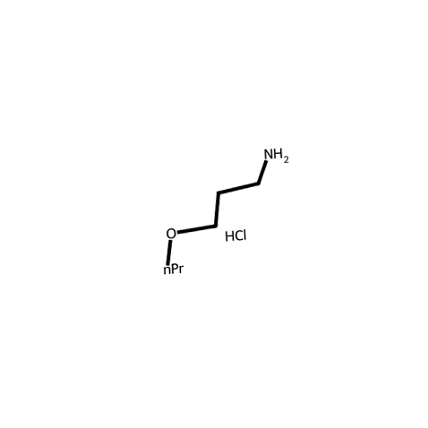 CCCOCCCN.Cl